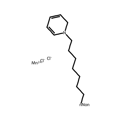 CCCCCCCCCCCCCCCCN1C=CC=CC1.[Cl-].[Cl-].[Mn+2]